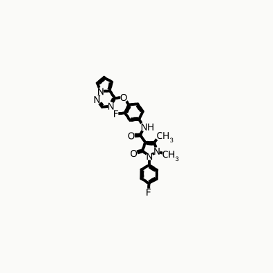 Cc1c(C(=O)Nc2ccc(Oc3ncnn4cccc34)c(F)c2)c(=O)n(-c2ccc(F)cc2)n1C